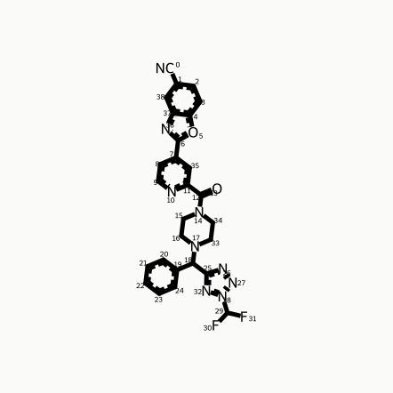 N#Cc1ccc2oc(-c3ccnc(C(=O)N4CCN(C(c5ccccc5)c5nnn(C(F)F)n5)CC4)c3)nc2c1